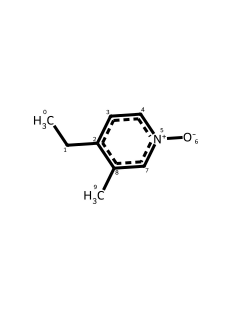 CCc1cc[n+]([O-])cc1C